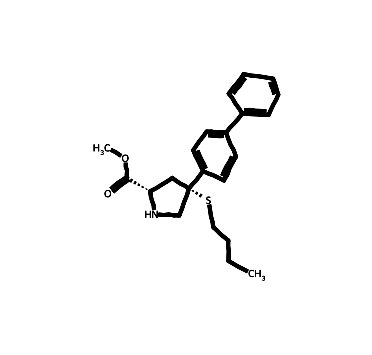 CCCCS[C@]1(c2ccc(-c3ccccc3)cc2)CN[C@H](C(=O)OC)C1